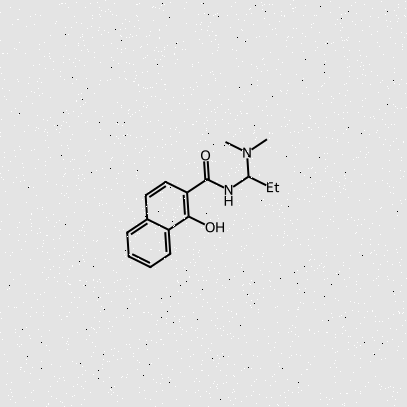 CCC(NC(=O)c1ccc2ccccc2c1O)N(C)C